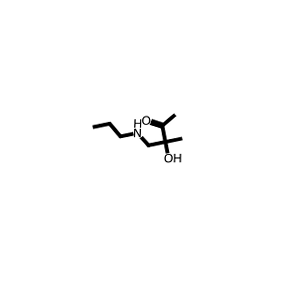 CCCNCC(C)(O)C(C)=O